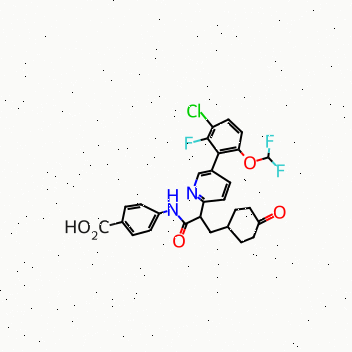 O=C1CCC(CC(C(=O)Nc2ccc(C(=O)O)cc2)c2ccc(-c3c(OC(F)F)ccc(Cl)c3F)cn2)CC1